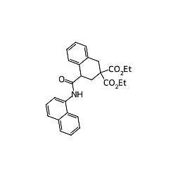 CCOC(=O)C1(C(=O)OCC)Cc2ccccc2C(C(=O)Nc2cccc3ccccc23)C1